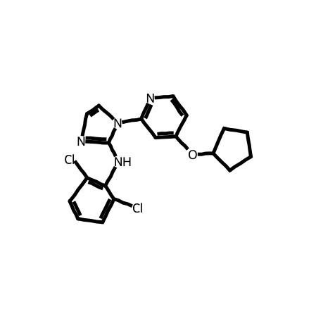 Clc1cccc(Cl)c1Nc1nccn1-c1cc(OC2CCCC2)ccn1